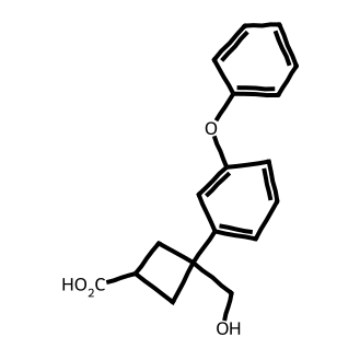 O=C(O)C1CC(CO)(c2cccc(Oc3ccccc3)c2)C1